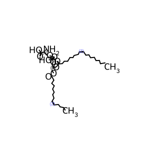 CCCC/C=C\CCCCCCCC(=O)OC[C@H](COP(=O)(O)OC[C@H](N)C(=O)O)OC(=O)CCCCCCC/C=C\CCCCCCCCC